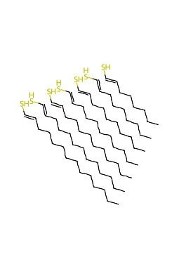 CCCCCCC=CS.CCCCCCCC=CS.CCCCCCCCC=CS.CCCCCCCCCC=CS.CCCCCCCCCCC=CS.CCCCCCCCCCCC=CS.CCCCCCCCCCCCC=CS